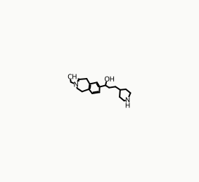 CCN1CCc2ccc(C(O)CCC3CCNCC3)cc2CC1